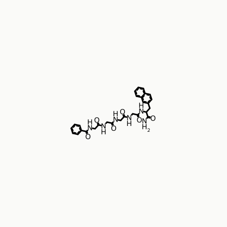 NC(=O)C(Cc1ccc2ccccc2c1)NC(=O)CNC(=O)CNC(=O)CNC(=O)CNC(=O)c1ccccc1